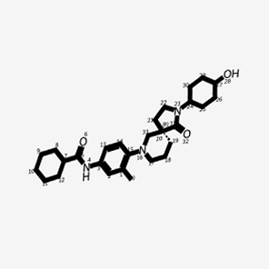 Cc1cc(NC(=O)C2CCCCC2)ccc1N1CCC[C@@]2(CCN(C3CCC(O)CC3)C2=O)C1